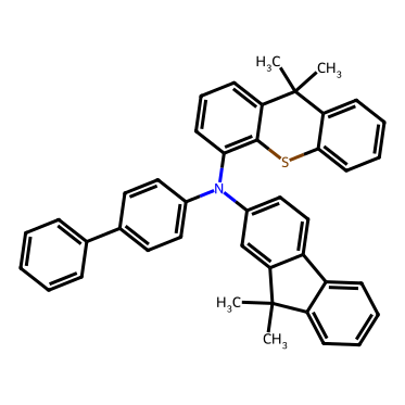 CC1(C)c2ccccc2-c2ccc(N(c3ccc(-c4ccccc4)cc3)c3cccc4c3Sc3ccccc3C4(C)C)cc21